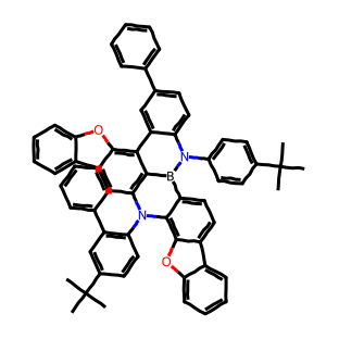 CC(C)(C)c1ccc(N2B3c4ccc5c(oc6ccccc65)c4N(c4ccc(C(C)(C)C)cc4-c4ccccc4)c4cc5c(oc6ccccc65)c(c43)-c3cc(-c4ccccc4)ccc32)cc1